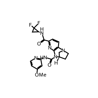 COc1ccnc(NC(=O)N2c3nc(C(=O)N[C@@H]4CC4(F)F)ccc3N3CC[C@H]2C3)c1